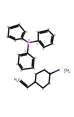 C.C=CC1CCC(I)CC1.c1ccc(P(c2ccccc2)c2ccccc2)cc1